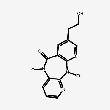 CCN1c2ncc(CCO)cc2C(=O)N(C)c2cccnc21